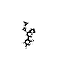 O=c1[nH]cc(-c2cc([C@@H]3C[C@H]3C3CC3)c3cccn3n2)c(=O)[nH]1